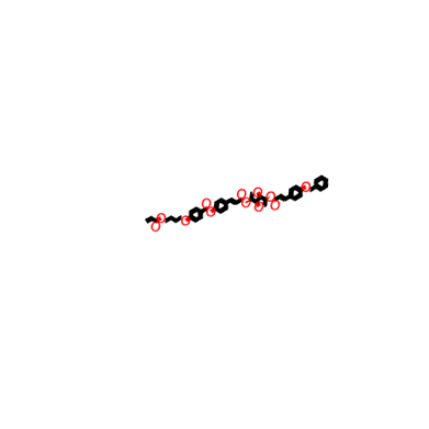 C=CC(=O)OCCCCOc1ccc(C(=O)Oc2ccc(/C=C/C(=O)O[C@H]3COC4C3OC[C@H]4OC(=O)/C=C/c3ccc(OCc4ccccc4)cc3)cc2)cc1